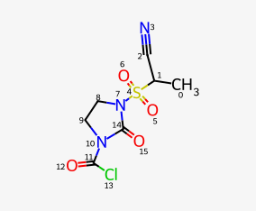 CC(C#N)S(=O)(=O)N1CCN(C(=O)Cl)C1=O